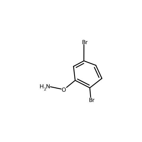 NOc1cc(Br)ccc1Br